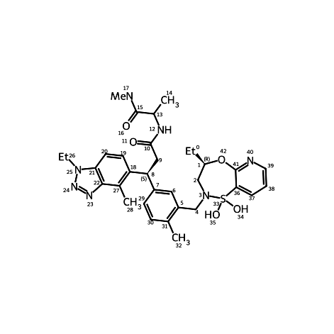 CC[C@@H]1CN(Cc2cc([C@H](CC(=O)NC(C)C(=O)NC)c3ccc4c(nnn4CC)c3C)ccc2C)S(O)(O)c2cccnc2O1